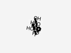 CC(C)(C)N(C(=O)O)C(C(=O)NCCO)c1cccc(OC(F)(F)F)c1